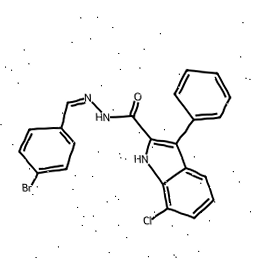 O=C(N/N=C\c1ccc(Br)cc1)c1[nH]c2c(Cl)cccc2c1-c1ccccc1